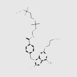 COCCOc1nc(N)c2nc(O)n(Cc3ccc(C(=O)NCCC(C)(C)OCCC(C)(C)OC(C)C)cc3)c2n1